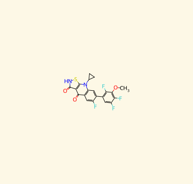 COc1c(F)c(F)cc(-c2cc3c(cc2F)c(=O)c2c(=O)[nH]sc2n3C2CC2)c1F